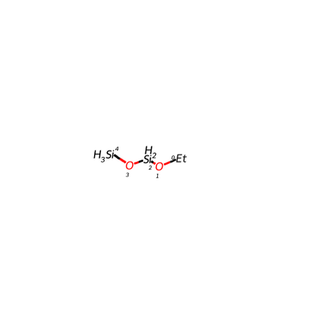 CCO[SiH2]O[SiH3]